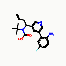 C=CCC(c1cncc(-c2cc(F)ccc2N)c1)N(C(=O)O)C(C)(C)C